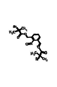 CC(C)(Br)C(=O)OCc1cccc(COC(=O)C(C)(C)Br)c1N=O